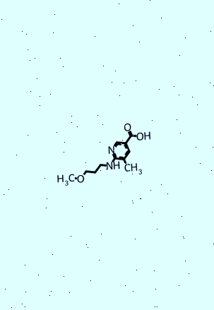 COCCCNc1ncc(C(=O)O)cc1C